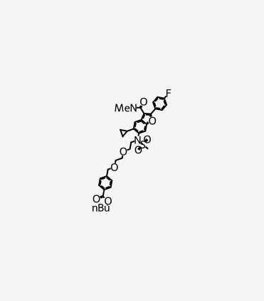 CCCCOC(=O)c1ccc(COCCOCCN(c2cc3oc(-c4ccc(F)cc4)c(C(=O)NC)c3cc2C2CC2)S(C)(=O)=O)cc1